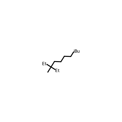 CCC(C)CCCCC(C)(CC)CC